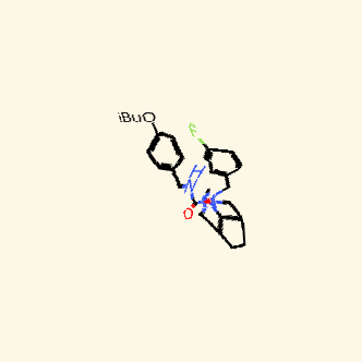 CC(C)COc1ccc(CNC(=O)N(Cc2ccc(F)cc2)C2C3CCC2CN(C)C3)cc1